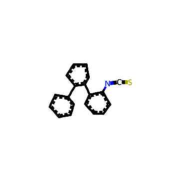 S=C=Nc1ccccc1-c1ccccc1-c1ccccc1